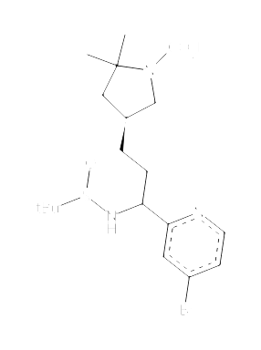 CC1(C)C[C@H](CCC(N[S+]([O-])C(C)(C)C)c2cc(Br)ccn2)CN1C(=O)O